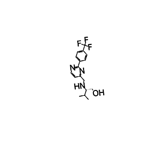 CC(C)[C@@H](CO)NCc1ccnc(-c2ccc(C(F)(F)F)cc2)n1